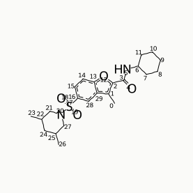 Cc1c(C(=O)NC2CCCCC2)oc2ccc(S(=O)(=O)N3CC(C)CC(C)C3)cc12